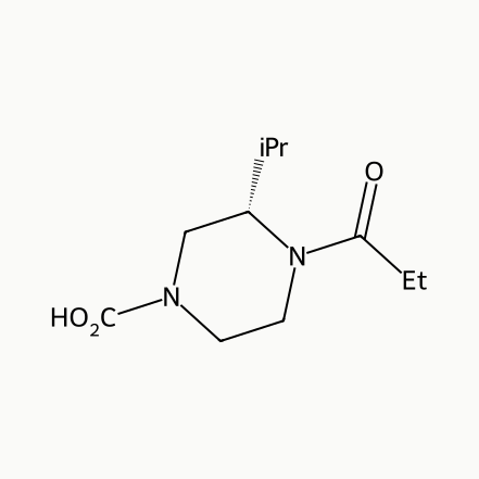 CCC(=O)N1CCN(C(=O)O)C[C@@H]1C(C)C